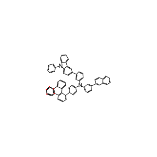 c1ccc(-c2ccccc2-c2c(-c3ccccc3)cccc2-c2ccc(N(c3cccc(-c4ccc5ccccc5c4)c3)c3cccc(-c4ccc5c(c4)c4ccccc4n5-c4ccccc4)c3)cc2)cc1